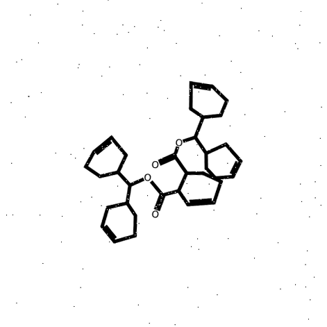 O=C(OC(C1CC=CCC1)C1CC=CCC1)C1C=CCCC1C(=O)OC(C1CC=CCC1)C1CC=CCC1